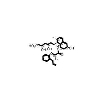 C=CCc1ccccc1O[C@@H](CC)C(=O)O[C@H]1C[C@H](O)C=C2C=C[C@@H](C)[C@H](CC[C@@H](O)C[C@@H](O)CC(=O)O)[C@H]21